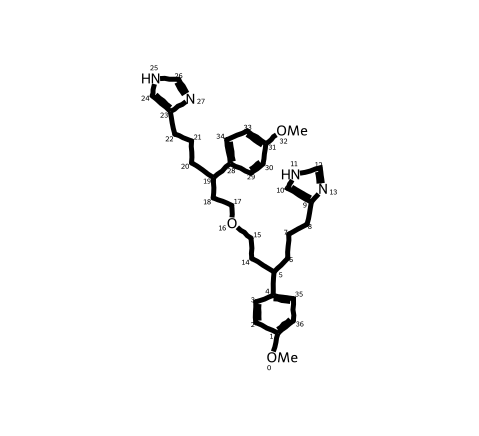 COc1ccc(C(CCCc2c[nH]cn2)CCOCCC(CCCc2c[nH]cn2)c2ccc(OC)cc2)cc1